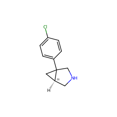 Clc1ccc(C23CNC[C@H]2C3)cc1